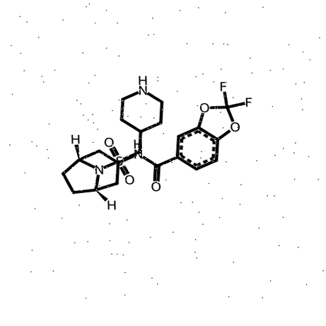 O=C(NC1C[C@H]2CC[C@@H](C1)N2S(=O)(=O)CC1CCNCC1)c1ccc2c(c1)OC(F)(F)O2